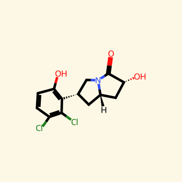 O=C1[C@H](O)C[C@@H]2C[C@H](c3c(O)ccc(Cl)c3Cl)CN12